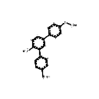 CCCCCCCCOc1ccc(-c2ccc(C(=O)O)c(-c3ccc(CCCCCCC)cc3)c2)cc1